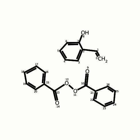 C=Cc1ccccc1O.O=C(OOC(=O)c1ccccc1)c1ccccc1